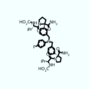 CC(C)[C@H](NC(=O)O)C(=O)N1CCC[C@@]1(C(N)=O)c1cccc(CN(Cc2cccc([C@]3(C(N)=O)CCCN3C(=O)[C@@H](NC(=O)O)C(C)C)c2)c2ccc(F)cc2)c1